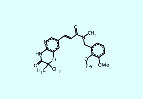 CCCOc1c(CN(C)C(=O)C=Cc2cnc3c(c2)OC(C)(C)C(=O)N3)cccc1OC